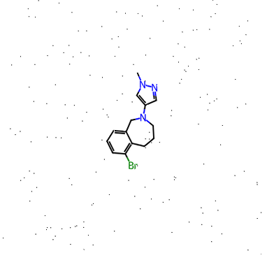 Cn1cc(N2CCCc3c(Br)cccc3C2)cn1